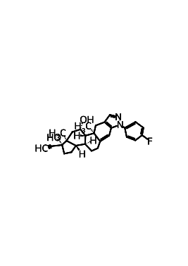 C#C[C@]1(O)CC[C@H]2[C@@H]3CCC4=Cc5c(cnn5-c5ccc(F)cc5)C[C@]4(C)[C@H]3[C@@H](O)C[C@@]21C